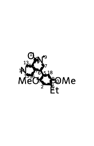 CCc1cc(OC)c(-c2cn(C)c(=O)c3cnccc23)cc1OC